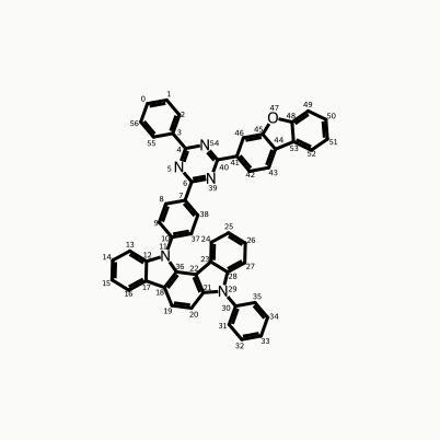 c1ccc(-c2nc(-c3ccc(-n4c5ccccc5c5ccc6c(c7ccccc7n6-c6ccccc6)c54)cc3)nc(-c3ccc4c(c3)oc3ccccc34)n2)cc1